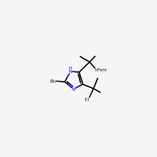 CCCCCC(C)(C)c1[nH]c(C(C)CC)nc1C(C)(C)CC